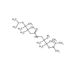 CC(C)SC(C)(C)C(C)(C)CC(=O)NCC(C)(C)C(C)(C)ON(C)C(C)C